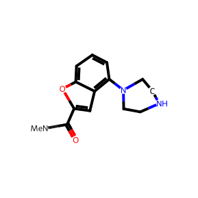 CNC(=O)c1cc2c(N3CCNCC3)cccc2o1